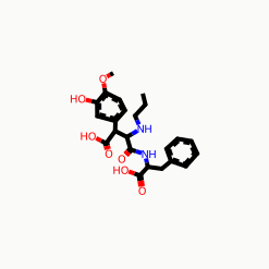 CCCNC(C(=O)NC(Cc1ccccc1)C(=O)O)C(C(=O)O)c1ccc(OC)c(O)c1